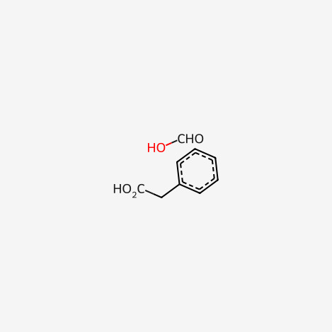 O=C(O)Cc1ccccc1.O=CO